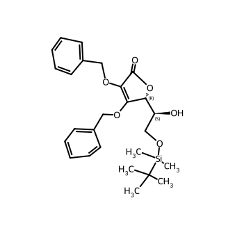 CC(C)(C)[Si](C)(C)OC[C@H](O)[C@H]1OC(=O)C(OCc2ccccc2)=C1OCc1ccccc1